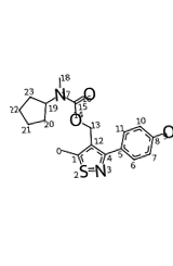 Cc1snc(-c2ccc(O)cc2)c1COC(=O)N(C)C1CCCC1